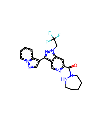 O=C(c1cc2c(cn1)c(-c1cnn3ccccc13)nn2CC(F)(F)F)N1CCCCCN1